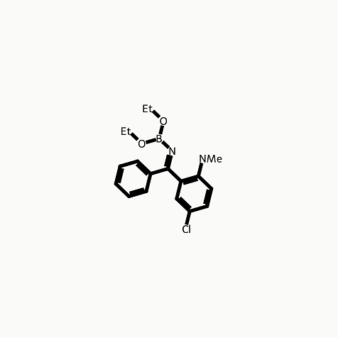 CCOB(/N=C(\c1ccccc1)c1cc(Cl)ccc1NC)OCC